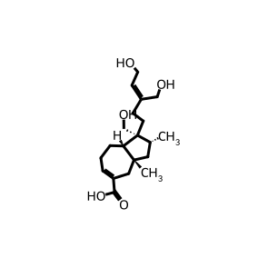 C[C@@H]1C[C@]2(C)CC(C(=O)O)=CCC[C@@H]2[C@@]1(CO)CC/C(=C/CO)CO